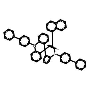 c1ccc(-c2ccc(N3c4ccccc4C4(c5ccccc53)c3ccccc3N(c3ccc(-c5ccccc5)cc3)c3ccc(-c5cccc6ccccc56)cc34)cc2)cc1